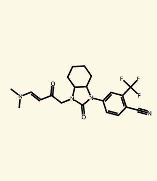 CN(C)C=CC(=O)CN1C(=O)N(c2ccc(C#N)c(C(F)(F)F)c2)C2CCCCC21